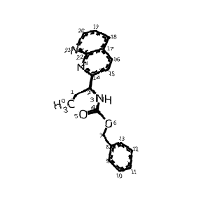 CCC(NC(=O)OCc1ccccc1)c1ccc2cccnc2n1